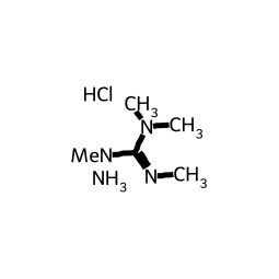 CN=C(NC)N(C)C.Cl.N